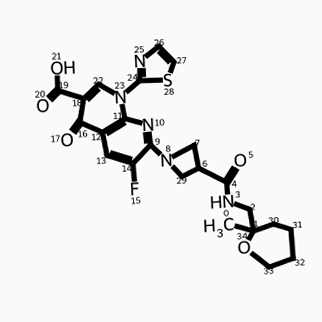 CC1(CNC(=O)C2CN(c3nc4c(cc3F)c(=O)c(C(=O)O)cn4-c3nccs3)C2)CCCCO1